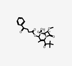 CO[C@H]1C(=O)N2C(C(=O)C(C)(C)C)=C(C)C(OC(=O)CCC(=O)c3ccccc3)S(=O)(=O)[C@@H]12